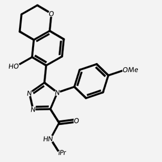 COc1ccc(-n2c(C(=O)NC(C)C)nnc2-c2ccc3c(c2O)CCCO3)cc1